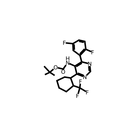 CC(C)(C)OC(=O)Nc1c(-c2cc(F)ccc2F)ncnc1C1CCCCC1C(F)(F)F